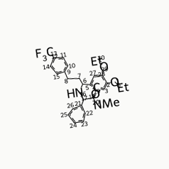 CCOc1ccc(C(CCc2ccc(C(F)(F)F)cc2)NC(C(=O)NC)c2ccccc2)cc1OCC